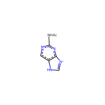 CC(=O)Nc1ncc2c(n1)[N+]=CN2